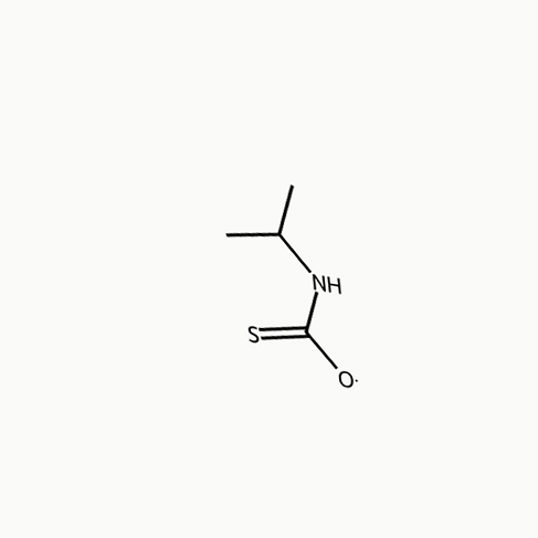 CC(C)NC([O])=S